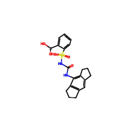 O=C(Nc1c2c(cc3c1CCC3)CCC2)NS(=O)(=O)c1ccccc1B(O)O